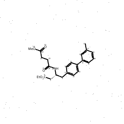 CCOC(=O)C[C@@H](Cc1ccc(-c2cccc(C)c2)cc1)NC(=O)CCC(=O)OC